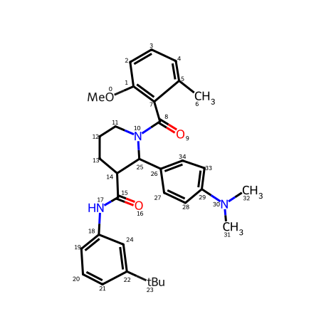 COc1cccc(C)c1C(=O)N1CCCC(C(=O)Nc2cccc(C(C)(C)C)c2)C1c1ccc(N(C)C)cc1